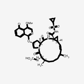 COc1cnc(O[C@@H]2C[C@H]3C(=O)N[C@]4(C(=O)NS(=O)(=O)C5CC5)C[C@H]4C=CC(C)CCC[C@@H](C)[C@H](NC(=O)O)C(=O)N3C2)c2cccc(Cl)c12